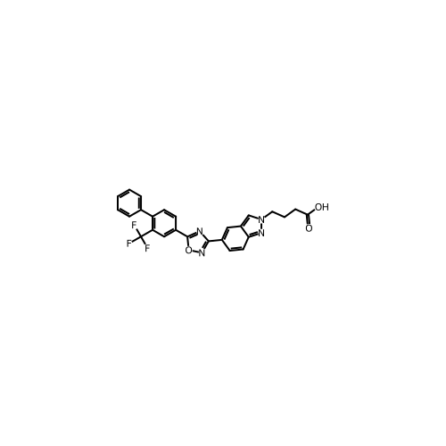 O=C(O)CCCn1cc2cc(-c3noc(-c4ccc(-c5ccccc5)c(C(F)(F)F)c4)n3)ccc2n1